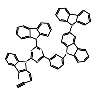 C#C/C=C\c1c(C)c2ccccc2n1-c1nc(-c2cccc(-n3c4ccccc4c4cc(-n5c6ccccc6c6ccccc65)ccc43)c2)nc(-n2c3ccccc3c3ccccc32)n1